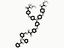 COC(=O)C(=O)c1ccc(Sc2ccc([SH](c3ccc(Sc4ccc(C(=O)C(=O)OCc5cccc([SH](CC(=O)c6ccccc6)c6ccccc6)c5)cc4)cc3)c3ccc(Sc4ccc(C(=O)C(O)OC)cc4)cc3)cc2)cc1